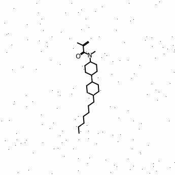 C=C(C)C(=O)N(C)C1CCC(C2CCC(CCCCCCC)CC2)CC1